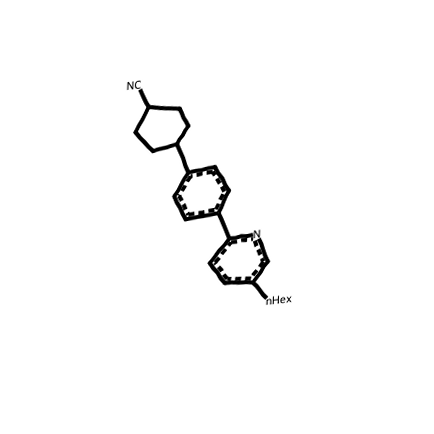 CCCCCCc1ccc(-c2ccc(C3CCC(C#N)CC3)cc2)nc1